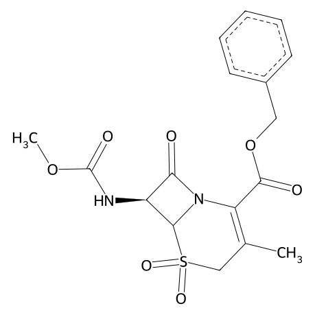 COC(=O)N[C@H]1C(=O)N2C(C(=O)OCc3ccccc3)=C(C)CS(=O)(=O)C12